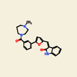 CN1CCCN(C(=O)c2cccc(-c3ccc(C=C4C(=O)Nc5ccccc54)o3)c2)CC1